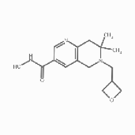 CC1(C)Cc2ncc(C(=O)NO)cc2CN1CC1COC1